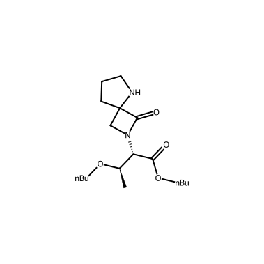 CCCCOC(=O)[C@H]([C@@H](C)OCCCC)N1CC2(CCCN2)C1=O